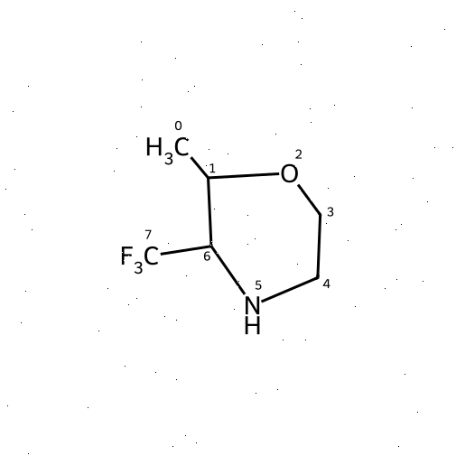 CC1OCCNC1C(F)(F)F